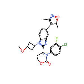 CO[C@H]1C[C@H](n2c([C@@H]3CCOC(=O)N3c3ccc(Cl)c(F)c3)nc3cc(-c4c(C)noc4C)ccc32)C1